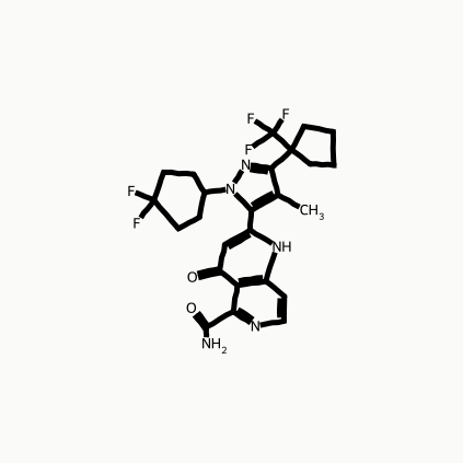 Cc1c(C2(C(F)(F)F)CCCC2)nn(C2CCC(F)(F)CC2)c1-c1cc(=O)c2c(C(N)=O)nccc2[nH]1